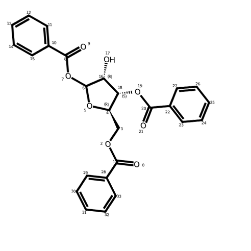 O=C(OC[C@H]1OC(OC(=O)c2ccccc2)[C@H](O)[C@@H]1OC(=O)c1ccccc1)c1ccccc1